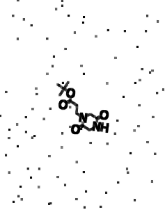 CC(C)(C)OC(=O)CCN1CC(=O)NCC1=O